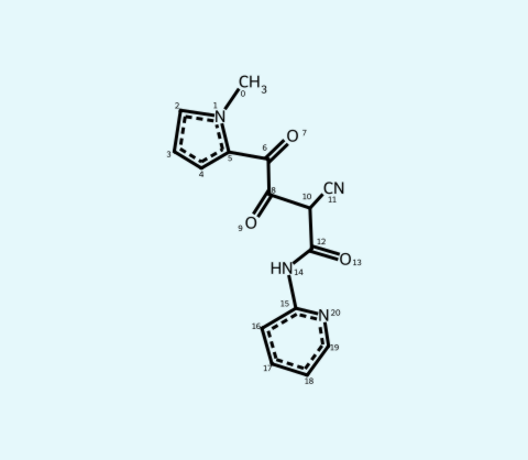 Cn1cccc1C(=O)C(=O)C(C#N)C(=O)Nc1ccccn1